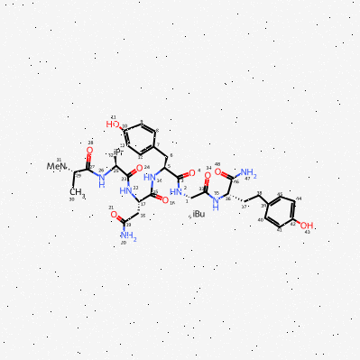 CC[C@H](C)[C@H](NC(=O)[C@H](Cc1ccc(O)cc1)NC(=O)[C@H](CC(N)=O)NC(=O)[C@@H](NC(=O)[C@H](C)NC)C(C)C)C(=O)N[C@@H](CCc1ccc(O)cc1)C(N)=O